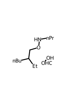 CCCCC(CC)CONCCC.O=CO